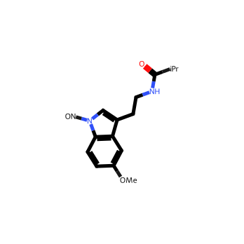 COc1ccc2c(c1)c(CCNC(=O)C(C)C)cn2N=O